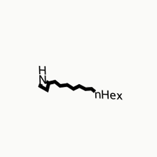 CCCCCCCCCCCCCC1CCN1